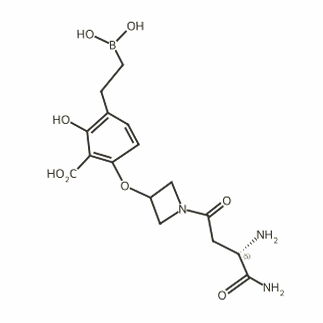 NC(=O)[C@@H](N)CC(=O)N1CC(Oc2ccc(CCB(O)O)c(O)c2C(=O)O)C1